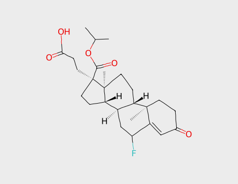 CC(C)OC(=O)[C@]1(CCC(=O)O)CC[C@H]2[C@@H]3CC(F)C4=CC(=O)CC[C@]4(C)[C@H]3CC[C@@]21C